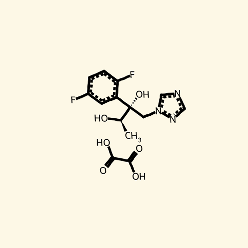 C[C@@H](O)[C@](O)(Cn1cncn1)c1cc(F)ccc1F.O=C(O)C(=O)O